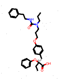 CCCN(CCCOc1ccc(C[C@](CC)(Oc2ccccc2)C(=O)O)cc1)C(=O)NCCc1ccccc1